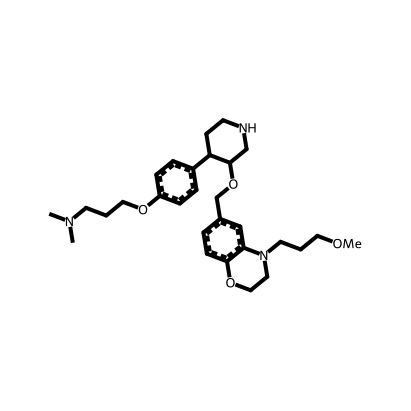 COCCCN1CCOc2ccc(COC3CNCCC3c3ccc(OCCCN(C)C)cc3)cc21